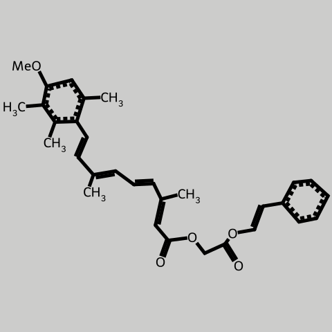 COc1cc(C)c(C=CC(C)=CC=CC(C)=CC(=O)OCC(=O)OC=Cc2ccccc2)c(C)c1C